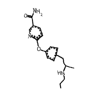 CCCNC(C)Cc1ccc(Oc2ccc(C(N)=O)cn2)cc1